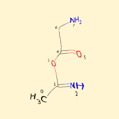 CC(=N)OC(=O)CN